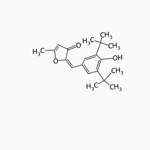 CC1=CC(=O)/C(=C\c2cc(C(C)(C)C)c(O)c(C(C)(C)C)c2)O1